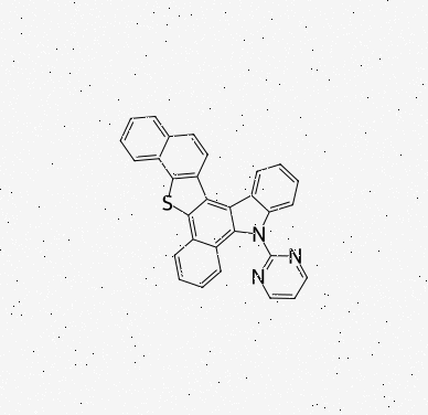 c1cnc(-n2c3ccccc3c3c4c5ccc6ccccc6c5sc4c4ccccc4c32)nc1